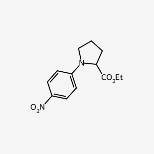 CCOC(=O)C1CCCN1c1ccc([N+](=O)[O-])cc1